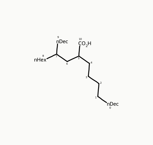 CCCCCCCCCCCCCCC(CC(CCCCCC)CCCCCCCCCC)C(=O)O